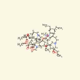 CCc1cc2[nH]c3c(c2cc1CC)CCN1C[C@H](C[C@@](O)(CC)C1)C[C@]3(C(=O)OC)C1C=C2C(=CC1OC)N(C=O)[C@H]1[C@@](O)(C(=O)OC)[C@H](OC(C)=O)[C@]3(CC)C=CCN4CC[C@]21[C@@H]43